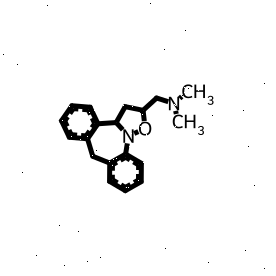 CN(C)CC1CC2c3ccccc3Cc3ccccc3N2O1